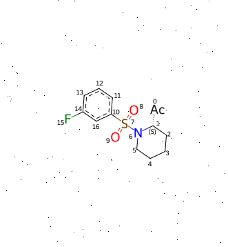 CC(=O)[C@@H]1CCCCN1S(=O)(=O)c1cccc(F)c1